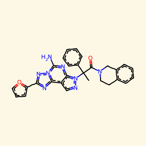 CC(C(=O)N1CCc2ccccc2C1)(c1ccccc1)n1ncc2c1nc(N)n1nc(-c3ccco3)nc21